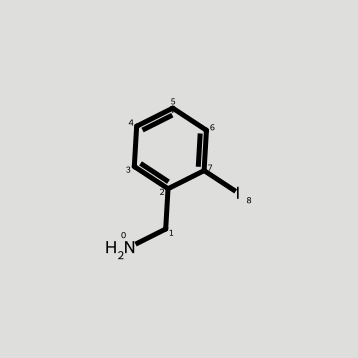 NCc1cc[c]cc1I